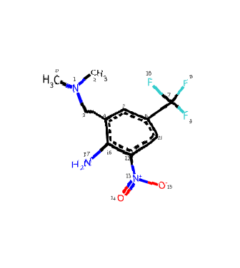 CN(C)Cc1cc(C(F)(F)F)cc([N+](=O)[O-])c1N